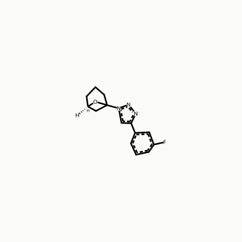 Fc1cccc(-c2cn(C34CCC[C@H](C3)O4)nn2)c1